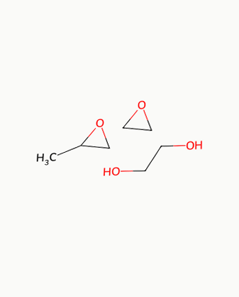 C1CO1.CC1CO1.OCCO